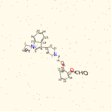 CC(C)Cn1cc(C2CCN(CCOc3ccccc3OC=O)CC2)c2ccccc21